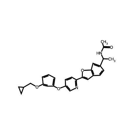 CC(=O)NC(C)c1ccc2cc(-c3ccc(Oc4cccc(OCC5CC5)c4)cn3)oc2c1